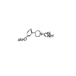 COc1cccc(C2CCN(c3cn[nH]c3)CC2)c1